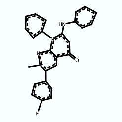 Cc1nc2c(cc1-c1ccc(F)cc1)c(=O)cc(Nc1ccccc1)n2-c1ccccc1